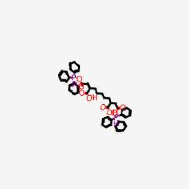 O=C(CC(CCCCCC(CC(=O)O[PH](c1ccccc1)(c1ccccc1)c1ccccc1)C(=O)O)C(=O)O)O[PH](c1ccccc1)(c1ccccc1)c1ccccc1